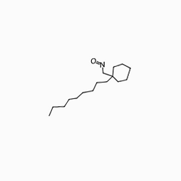 CCCCCCCCCC1(CN=O)CCCCC1